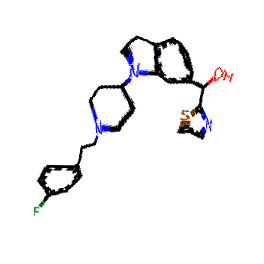 OC(c1ccc2c(c1)N(C1CCN(CCc3ccc(F)cc3)CC1)CC2)c1nccs1